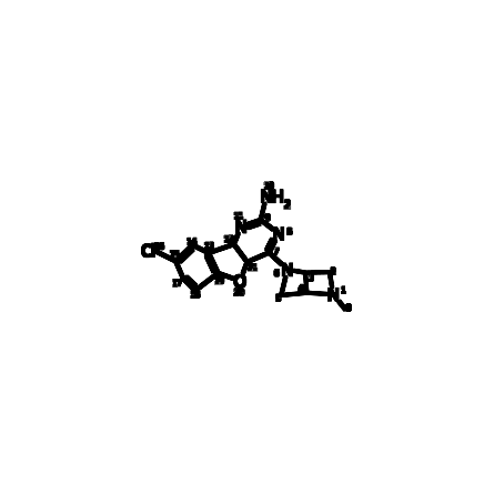 CN1CC2C1CN2C1=NC(N)=NC2c3cc(Cl)ccc3OC12